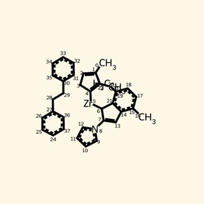 CC1=CC[C]([Zr][CH]2C(n3cccc3)=Cc3c(C)ccc(C)c32)=C1C.c1ccc(CCc2ccccc2)cc1